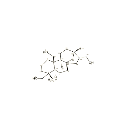 C[C@@]1(CO)CCC[C@@]2(CO)[C@H]1CC[C@@]13C[C@@H](CO)[C@@H](CC[C@@H]12)C3